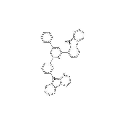 c1ccc(-c2cc(-c3cccc(-n4c5ccccc5c5cccnc54)c3)nc(-c3cccc4c3[nH]c3ccccc34)c2)cc1